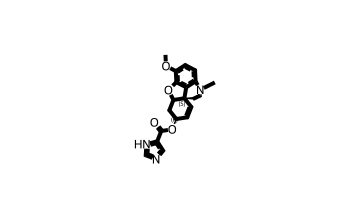 COc1ccc2c3c1OC1C[C@@H](OC(=O)c4cnc[nH]4)C=C[C@@]31CCN2C